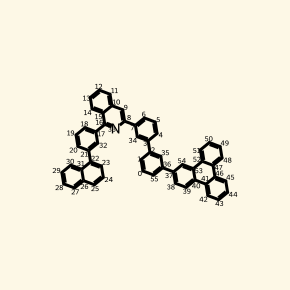 c1cc(-c2cccc(-c3cc4ccccc4c(-c4cccc(-c5cccc6ccccc56)c4)n3)c2)cc(-c2ccc3c4ccccc4c4ccccc4c3c2)c1